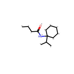 CCCC(=O)NC1(C(C)C)CCCCC1